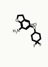 Cl.Nc1cc(OC2CCC(F)(F)CC2)cc2c1OCC2